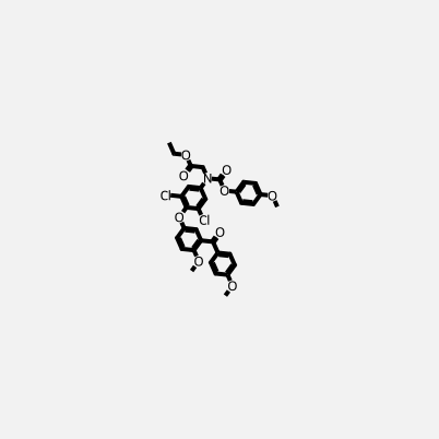 CCOC(=O)CN(C(=O)Oc1ccc(OC)cc1)c1cc(Cl)c(Oc2ccc(OC)c(C(=O)c3ccc(OC)cc3)c2)c(Cl)c1